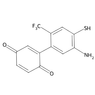 Nc1cc(C2=CC(=O)C=CC2=O)c(C(F)(F)F)cc1S